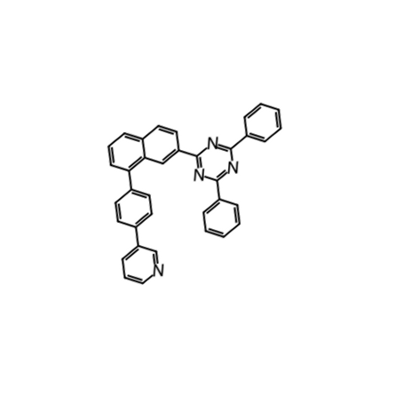 c1ccc(-c2nc(-c3ccccc3)nc(-c3ccc4cccc(-c5ccc(-c6cccnc6)cc5)c4c3)n2)cc1